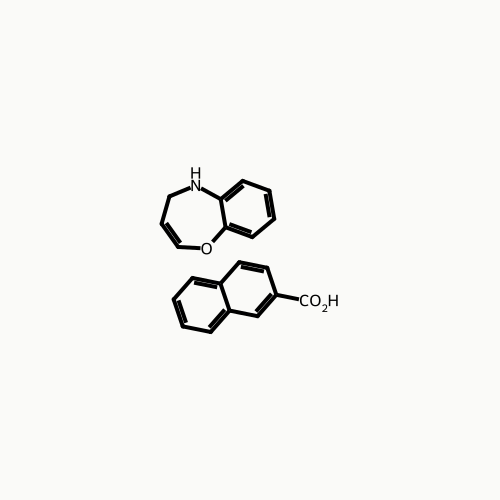 C1=COc2ccccc2NC1.O=C(O)c1ccc2ccccc2c1